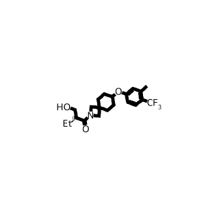 CC[C@H](CO)C(=O)N1CC2(CCC(Oc3ccc(C(F)(F)F)c(C)c3)CC2)C1